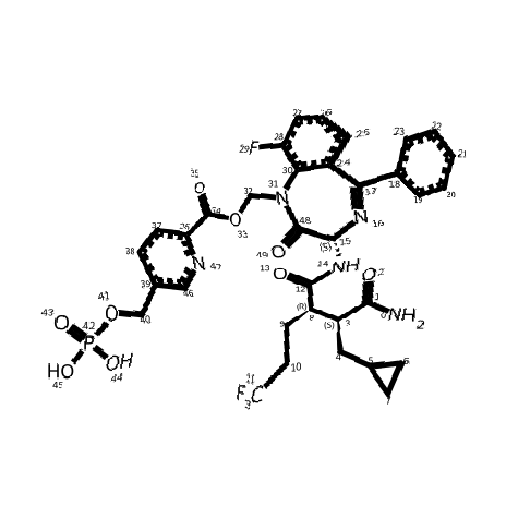 NC(=O)[C@@H](CC1CC1)[C@@H](CCC(F)(F)F)C(=O)N[C@H]1N=C(c2ccccc2)c2cccc(F)c2N(COC(=O)c2ccc(COP(=O)(O)O)cn2)C1=O